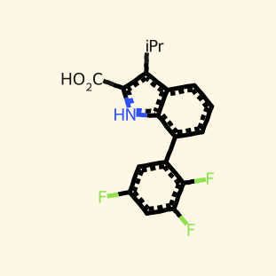 CC(C)c1c(C(=O)O)[nH]c2c(-c3cc(F)cc(F)c3F)cccc12